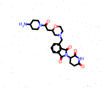 NC1CCN(C(=O)CC2CN(Cc3cccc4c3C(=O)N(C3CCC(=O)NC3=O)C4=O)CCO2)CC1